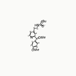 COc1ccc(C(OC)c2cc(CCN[S+]([O-])C(C)(C)C)ccn2)cc1